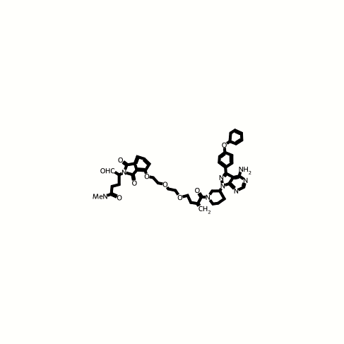 C=C(CCOCCOCCOc1cccc2c1C(=O)N(C(C=O)CCC(=O)NC)C2=O)C(=O)N1CCCC(n2nc(-c3ccc(OC4C=CC=CC4)cc3)c3c(N)ncnc32)C1